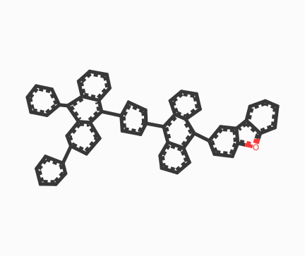 c1ccc(-c2ccc3c(-c4ccc(-c5c6ccccc6c(-c6ccc7oc8ccccc8c7c6)c6ccccc56)cc4)c4ccccc4c(-c4ccccc4)c3c2)cc1